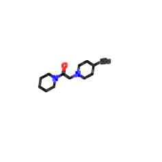 CC(C)(C)C1CCN(CC(=O)N2CCCCC2)CC1